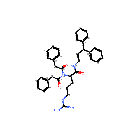 N=C(N)NCCCC(C(=O)NCCC(c1ccccc1)c1ccccc1)N(C(=O)Cc1ccccc1)C(=O)Cc1ccccc1